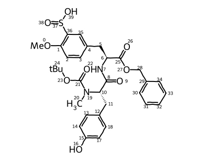 COc1ccc(C[C@H](NC(=O)[C@H](Cc2ccc(O)cc2)N(C)C(=O)OC(C)(C)C)C(=O)OCc2ccccc2)cc1S(=O)O